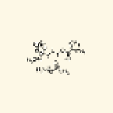 C=C(C)C(=O)OCCC[Si](OC)(OC)OC.CC(=O)O[SiH3]